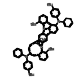 Cc1c2ccc(N(c3ccccc3)c3ccc(C(C)(C)C)cc3)cc3cccc(C(C)(C)C)c3n1c1cc3c4ccc(N(C5=CC=CCC5)c5ccc(C(C)(C)C)cc5)c5c6cccc(C(C)(C)C)c6n(c3cc21)c45